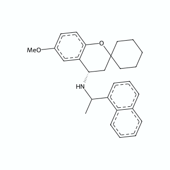 COc1ccc2c(c1)[C@@H](NC(C)c1cccc3ccccc13)CC1(CCCCC1)O2